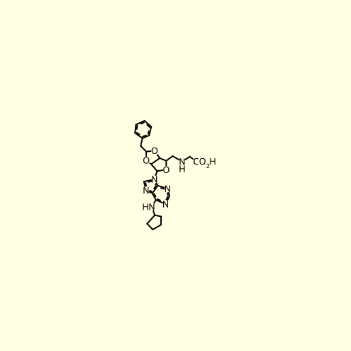 O=C(O)CNCC1OC(n2cnc3c(NC4CCCC4)ncnc32)C2OC(Cc3ccccc3)OC12